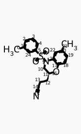 Cc1cccc(S(=O)(=O)N2C[C@H](CCC#N)Oc3ccc(C)cc32)c1